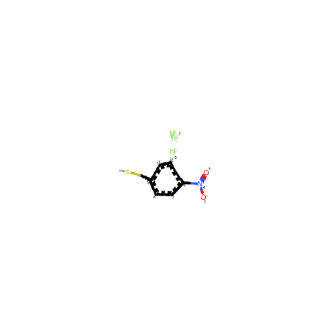 F.F.F.O=[N+]([O-])c1ccc([S])cc1